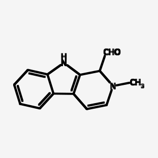 CN1C=Cc2c([nH]c3ccccc23)C1C=O